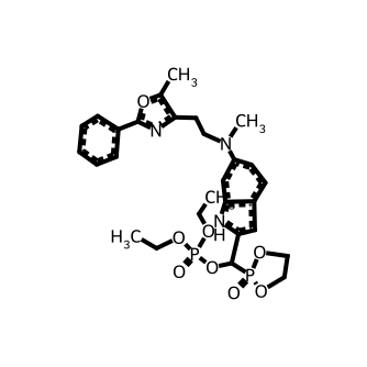 CCOP(=O)(OCC)OC(c1cc2ccc(N(C)CCc3nc(-c4ccccc4)oc3C)cc2[nH]1)P1(=O)OCCO1